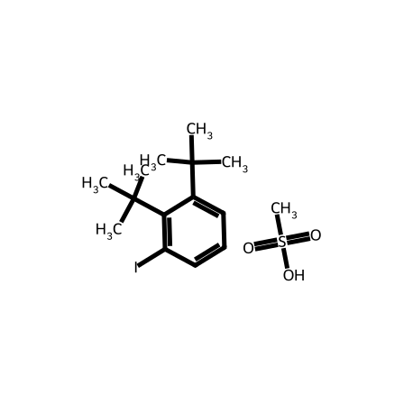 CC(C)(C)c1cccc(I)c1C(C)(C)C.CS(=O)(=O)O